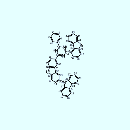 c1ccc(-c2nc(-c3ccc4oc5ccc(-n6c7ccccc7c7ccccc76)cc5c4c3)nc(-c3cccc4sc5ccccc5c34)n2)cc1